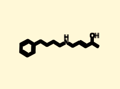 CC(O)C=CCNCCCCc1ccccc1